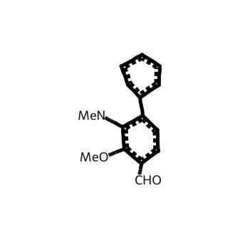 CNc1c(-c2ccccc2)ccc(C=O)c1OC